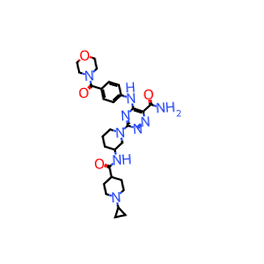 NC(=O)c1nnc(N2CCCC(NC(=O)C3CCN(C4CC4)CC3)C2)nc1Nc1ccc(C(=O)N2CCOCC2)cc1